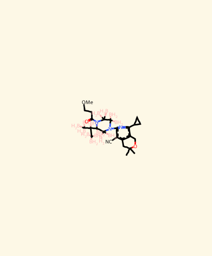 BC(B)(B)C(B)(C(B)(B)B)C1(B)N(C(=O)CCOC)C(B)(B)C(B)(B)N(c2nc(C3CC3)c3c(c2C#N)CC(C)(C)OC3)C1(B)B